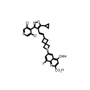 COc1cc(C(=O)O)nc2c(F)cc(N3CC4(CC(/C=C/c5c(-c6c(Cl)cncc6Cl)noc5C5CC5)C4)C3)cc12